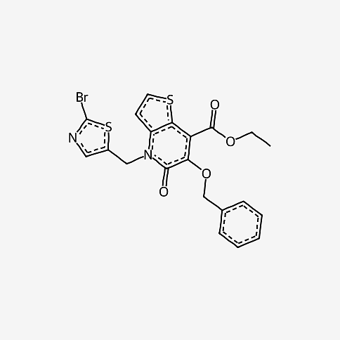 CCOC(=O)c1c(OCc2ccccc2)c(=O)n(Cc2cnc(Br)s2)c2ccsc12